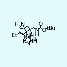 CCC1=C[C@]2(N)[C@](N)(C1)C[C@]2(CNC(=O)OC(C)(C)C)Cc1nnn[nH]1